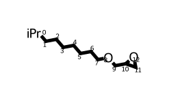 CC(C)CCCCCCCOCC1CO1